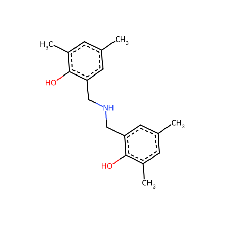 Cc1cc(C)c(O)c(CNCc2cc(C)cc(C)c2O)c1